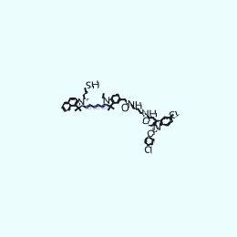 CCN1\C(=C/C=C/C=C/C2=[N+](CCCCS)c3ccc4ccccc4c3C2(C)C)C(C)(C)c2cc(CC(=O)NCCCNC(=O)Cc3c(C)n(COc4ccc(Cl)cc4)c4ccc(OC)cc34)ccc21